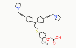 Cc1cc(SCC=C(c2ccc(C#CCN3CCCC3)cc2)c2ccc(C#CCN3CCCC3)cc2)ccc1OCC(=O)O